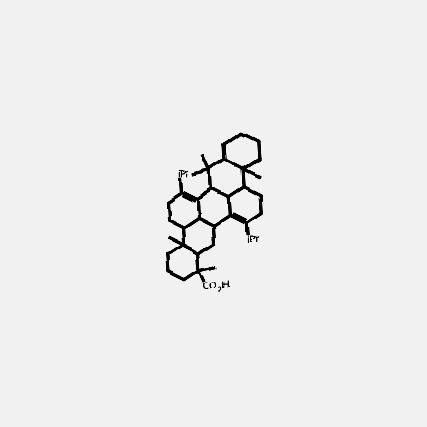 CC(C)C1=C2C3CC4C(C)(C(=O)O)CCCC4(C)C4CCC(C(C)C)=C(C34)C3C2C(CC1)C1(C)CCCCC1C3(C)C